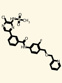 CS(=O)(=O)Nc1nc(-c2cccc(C(=O)Nc3ccc(COCc4ccccn4)c(F)c3)c2)cnc1Cl